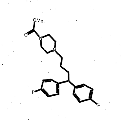 COC(=O)N1CCN(CCCC(c2ccc(F)cc2)c2ccc(F)cc2)CC1